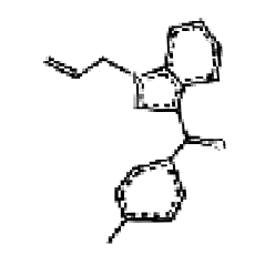 C=CCn1cc(C(=O)c2ccc(C)cc2)c2ccccc21